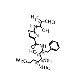 COCC[C@@H](NC(C)=O)[C@@H](O)[C@H](O)[C@H](Cc1ccccc1)NC(=O)c1csc(NC(O)[C@H](C)C=O)n1